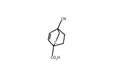 N#CC12C=CC(C(=O)O)(CC1)CC2